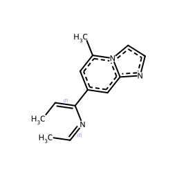 C/C=N\C(=C/C)c1cc(C)n2ccnc2c1